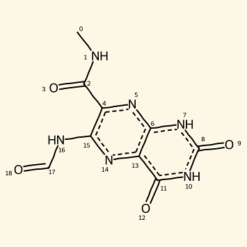 CNC(=O)c1nc2[nH]c(=O)[nH]c(=O)c2nc1NC=O